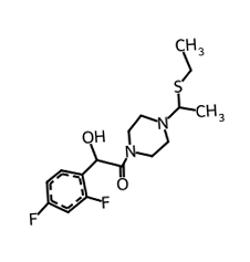 CCSC(C)N1CCN(C(=O)C(O)c2ccc(F)cc2F)CC1